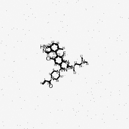 C=CC(=O)N1CCN(c2nc(N(C)CCN(C)C)nc3c(F)c(-c4c(C)ccc5[nH]ncc45)c(Cl)cc23)CC1